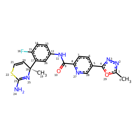 Cc1nnc(-c2ccc(C(=O)Nc3ccc(F)c([C@]4(C)C=CSC(N)=N4)c3)nc2)o1